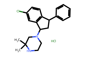 CC1(C)CN(C2CC(c3ccccc3)c3ccc(Cl)cc32)CCN1.Cl